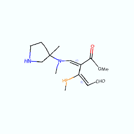 COC(=O)C(=C/N(C)C1(C)CCNC1)/C(=C\C=O)PC